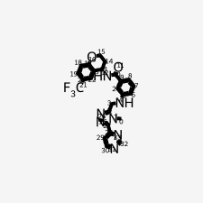 Cn1c(CNc2cccc(C(=O)N[C@H]3CCOc4ccc(C(F)(F)F)cc43)c2)nnc1-c1ccncn1